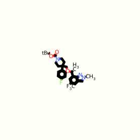 CC(OCC1(c2ccc(F)cc2)CCN(C(=O)OC(C)(C)C)CC1)c1cc(C(F)(F)F)cc2cn(C)nc12